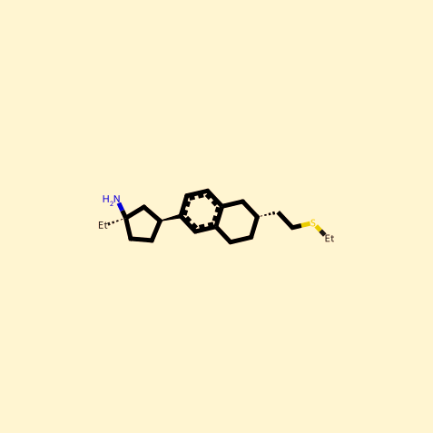 CCSCC[C@@H]1CCc2cc([C@H]3CC[C@](N)(CC)C3)ccc2C1